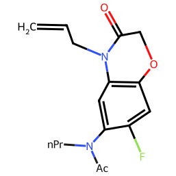 C=CCN1C(=O)COc2cc(F)c(N(CCC)C(C)=O)cc21